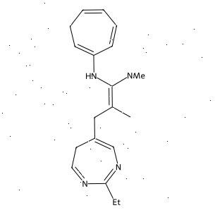 CCC1=NC=C(C/C(C)=C(/NC)NC2=CCC=CC=C2)CC=N1